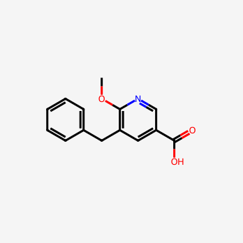 COc1ncc(C(=O)O)cc1Cc1ccccc1